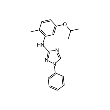 Cc1ccc(OC(C)C)cc1Nc1ncn(-c2ccccc2)n1